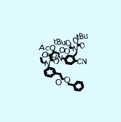 CC(=O)O[C@@H](C(=O)Nc1ccc(C#N)c(CN(C(=O)OC(C)(C)C)C(=O)OC(C)(C)C)c1)[C@H]1OCCN(c2cccc(CC(=O)OCc3ccccc3)c2)C1=O